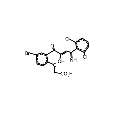 N=C(/C=C(\O)C(=O)c1cc(Br)ccc1OCC(=O)O)c1c(Cl)cccc1Cl